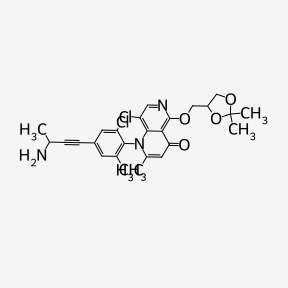 Cc1cc(C#CC(C)N)cc(Cl)c1-n1c(C)cc(=O)c2c(OCC3COC(C)(C)O3)ncc(Cl)c21